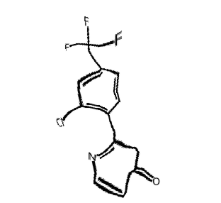 O=C1C=CN=C(c2ccc(C(F)(F)F)cc2Cl)C1